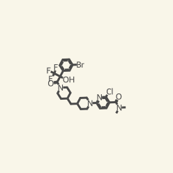 CN(C)C(=O)c1ccc(N2CCC(CC3CCN(C(=O)C(O)(c4cccc(Br)c4)C(F)(F)F)CC3)CC2)nc1Cl